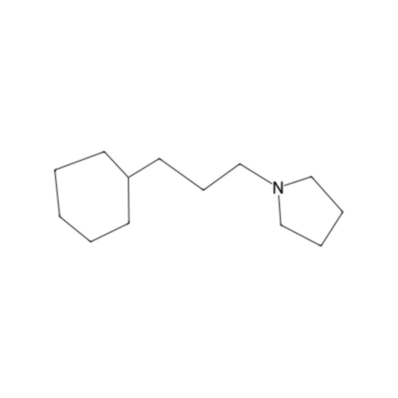 C1CCC(CCCN2CCCC2)CC1